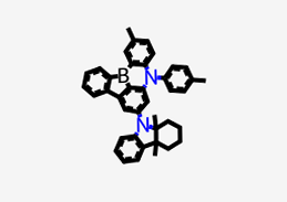 Cc1ccc(N2c3ccc(C)cc3B3c4ccccc4-c4cc(N5c6ccccc6C6(C)CCCCC56C)cc2c43)cc1